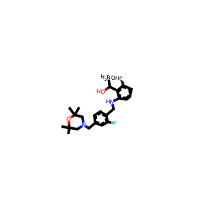 BC(O)c1c(C=O)cccc1NCc1ccc(CN2CC(C)(C)OC(C)(C)C2)cc1F